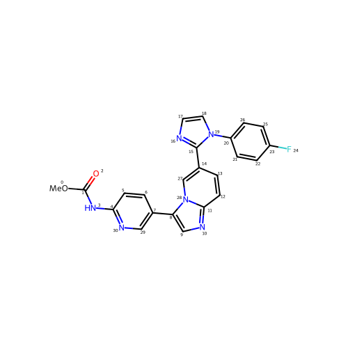 COC(=O)Nc1ccc(-c2cnc3ccc(-c4nccn4-c4ccc(F)cc4)cn23)cn1